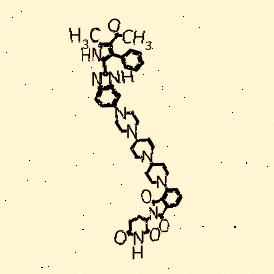 CC(=O)c1c(C)[nH]c(-c2nc3ccc(N4CCN(C5CCN(C6CCN(c7cccc8c7C(=O)N(C7CCC(=O)NC7=O)C8=O)CC6)CC5)CC4)cc3[nH]2)c1-c1ccccc1